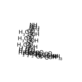 C=C.C=C.C=C.C=C.COS(=O)(=O)O.COS(=O)(=O)O.COS(=O)(=O)O.COS(=O)(=O)O.COS(=O)(=O)O.N.N.N.N.N